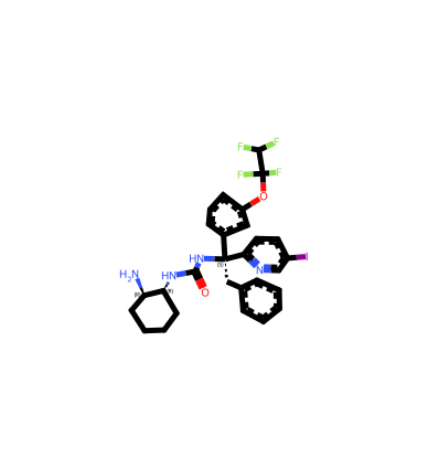 N[C@@H]1CCCC[C@H]1NC(=O)N[C@@](Cc1ccccc1)(c1cccc(OC(F)(F)C(F)F)c1)c1ccc(I)cn1